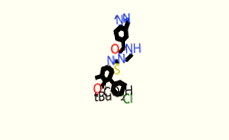 Cc1cc2nc(N3CCNC(c4ccc5c(cnn5C)c4)C3=O)sc2c(-c2ccc(Cl)cc2)c1[C@H](OC(C)(C)C)C(=O)O